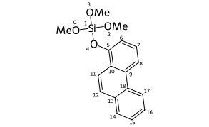 CO[Si](OC)(OC)Oc1cccc2c1ccc1ccccc12